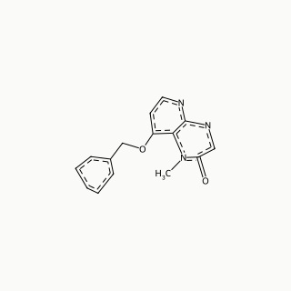 Cn1c(=O)cnc2nccc(OCc3ccccc3)c21